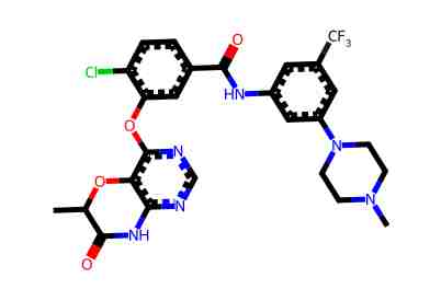 CC1Oc2c(ncnc2Oc2cc(C(=O)Nc3cc(N4CCN(C)CC4)cc(C(F)(F)F)c3)ccc2Cl)NC1=O